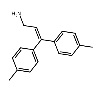 Cc1ccc(C(=CCN)c2ccc(C)cc2)cc1